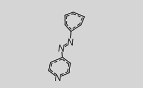 c1ccc(/N=N/c2ccncc2)cc1